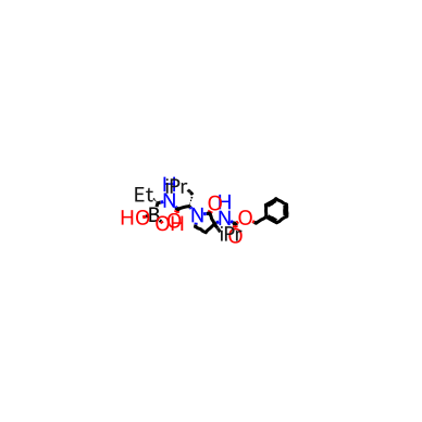 CC[C@H](NC(=O)[C@H](CC(C)C)N1CCC(NC(=O)OCc2ccccc2)(C(C)C)C1=O)B(O)O